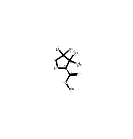 BC1(CC)CN[C@H](C(=O)OC(C)(C)C)C1(B)B